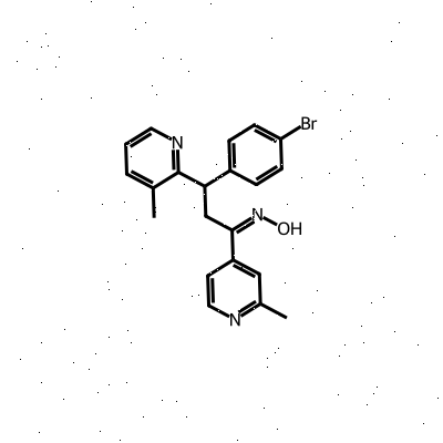 Cc1cc(C(CC(c2ccc(Br)cc2)c2ncccc2C)=NO)ccn1